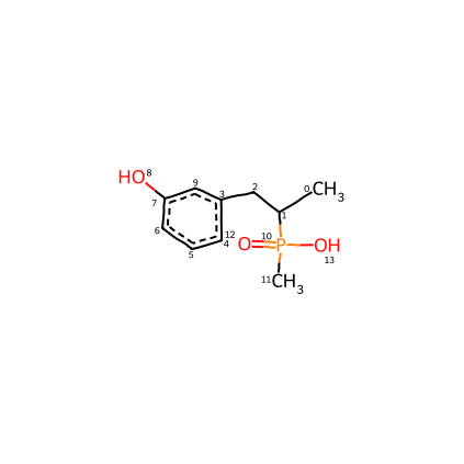 CC(Cc1cccc(O)c1)P(C)(=O)O